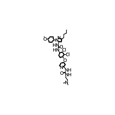 CCCCc1cc(NC(=O)Nc2ccc(Oc3ccnc(NC(=O)NCCN(C)C)c3)c(Cl)c2Cl)n(-c2ccc(OC)cc2)n1